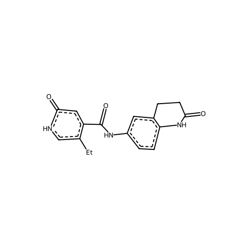 CCc1c[nH]c(=O)cc1C(=O)Nc1ccc2c(c1)CCC(=O)N2